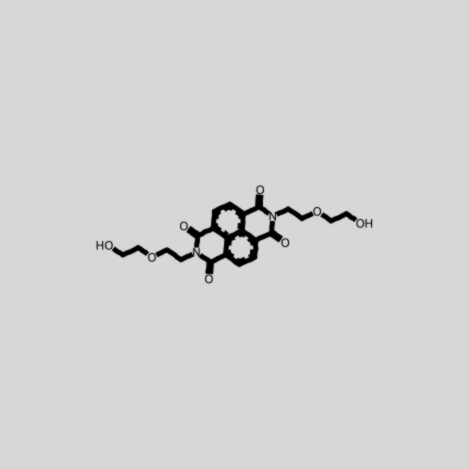 O=C1c2ccc3c4c(ccc(c24)C(=O)N1CCOCCO)C(=O)N(CCOCCO)C3=O